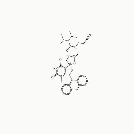 Cc1cn([C@@]2(SCc3c4ccccc4cc4ccccc34)C[C@H](OP(OCCC#N)N(C(C)C)C(C)C)[C@@H](C)O2)c(=O)[nH]c1=O